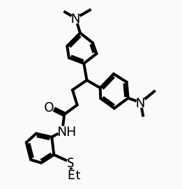 CCSc1ccccc1NC(=O)CCC(c1ccc(N(C)C)cc1)c1ccc(N(C)C)cc1